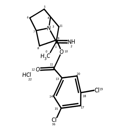 CC(=N)N1C2CCC1CC(OC(=O)c1cc(Cl)cc(Cl)c1)C2.Cl